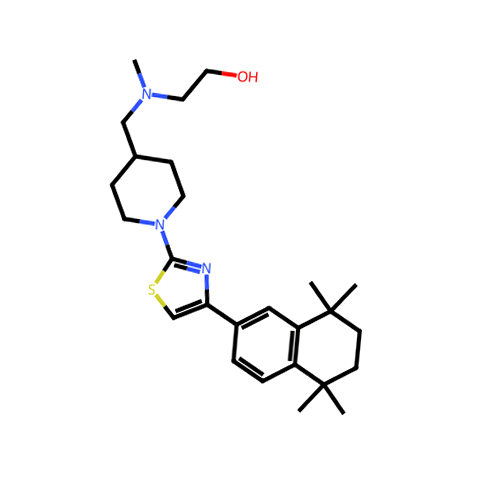 CN(CCO)CC1CCN(c2nc(-c3ccc4c(c3)C(C)(C)CCC4(C)C)cs2)CC1